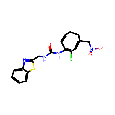 O=C(NCc1nc2ccccc2s1)NC1=C(Cl)/C=C(/C[N+](=O)[O-])CC/C=C\1